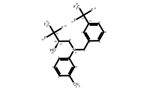 Cc1cccc(N(Cc2cccc(C(F)(F)C(F)(F)F)c2)C[C@@H](O)C(F)(F)C(F)(F)F)c1